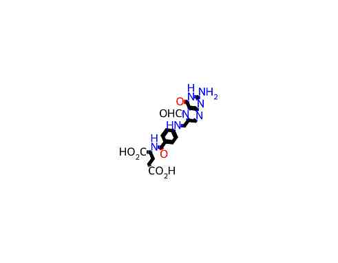 Nc1nc2c(c(=O)[nH]1)N(C=O)C(CNc1ccc(C(=O)NC(CCC(=O)O)C(=O)O)cc1)C=N2